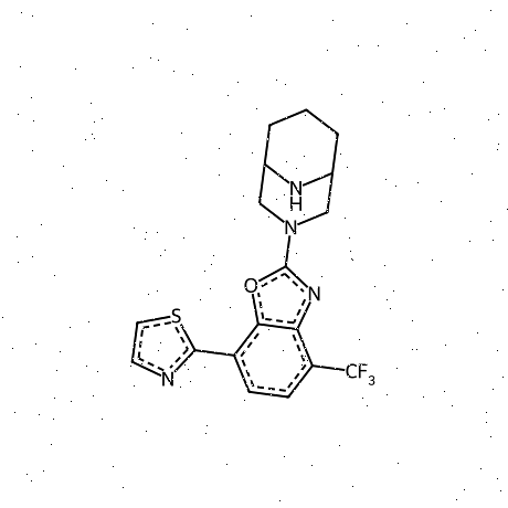 FC(F)(F)c1ccc(-c2nccs2)c2oc(N3CC4CCCC(C3)N4)nc12